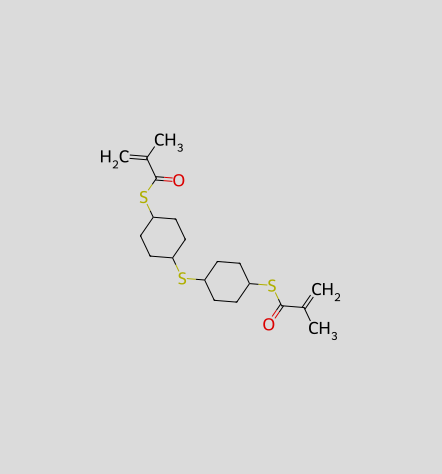 C=C(C)C(=O)SC1CCC(SC2CCC(SC(=O)C(=C)C)CC2)CC1